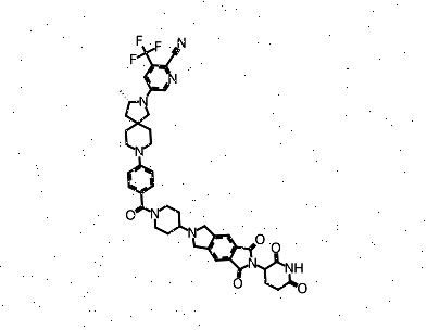 C[C@H]1CC2(CCN(c3ccc(C(=O)N4CCC(N5Cc6cc7c(cc6C5)C(=O)N(C5CCC(=O)NC5=O)C7=O)CC4)cc3)CC2)CN1c1cnc(C#N)c(C(F)(F)F)c1